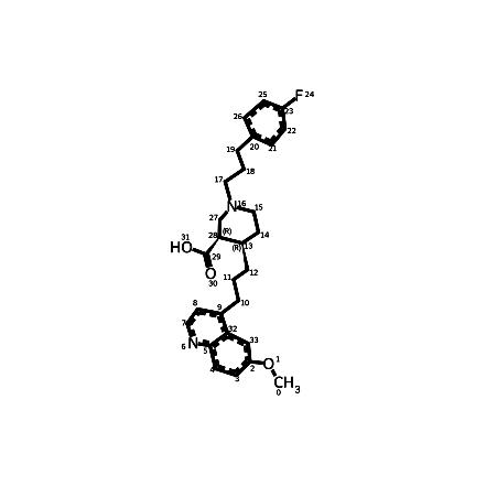 COc1ccc2nccc(CCC[C@@H]3CCN(CCCc4ccc(F)cc4)C[C@@H]3C(=O)O)c2c1